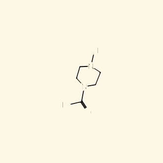 CC(C)C(=O)N1CCN(S)CC1